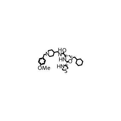 COc1ccc(CN2CCC(CNC(=O)[C@H](CSCC3CCCCC3)NC(=O)[C@@H]3CSCN3)CC2)cc1